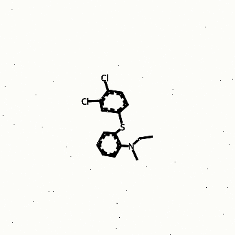 CCN(C)c1ccccc1Sc1ccc(Cl)c(Cl)c1